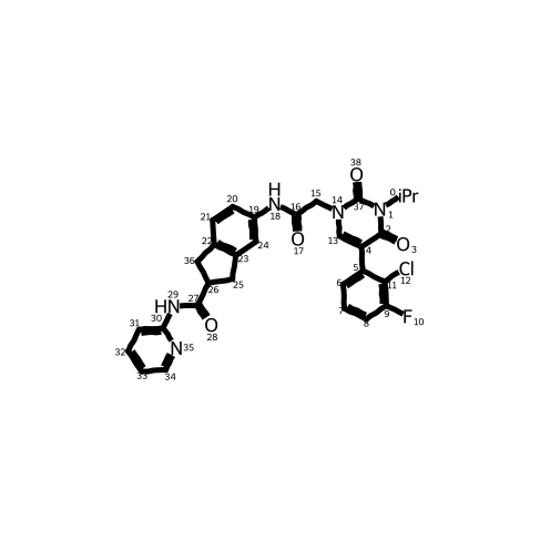 CC(C)n1c(=O)c(-c2cccc(F)c2Cl)cn(CC(=O)Nc2ccc3c(c2)CC(C(=O)Nc2ccccn2)C3)c1=O